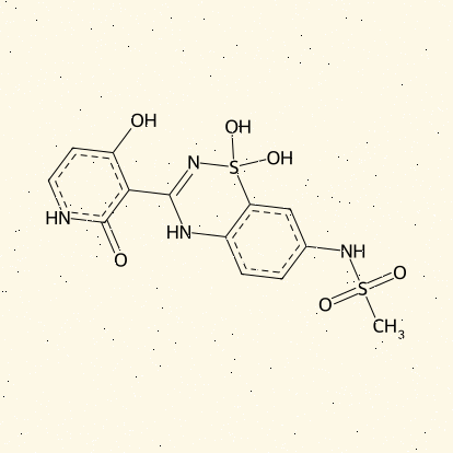 CS(=O)(=O)Nc1ccc2c(c1)S(O)(O)N=C(c1c(O)cc[nH]c1=O)N2